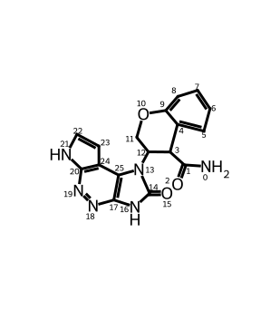 NC(=O)C1c2ccccc2OCC1n1c(=O)[nH]c2nnc3[nH]ccc3c21